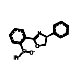 CC(C)[S+]([O-])c1ccccc1C1=N[C@@H](c2ccccc2)CO1